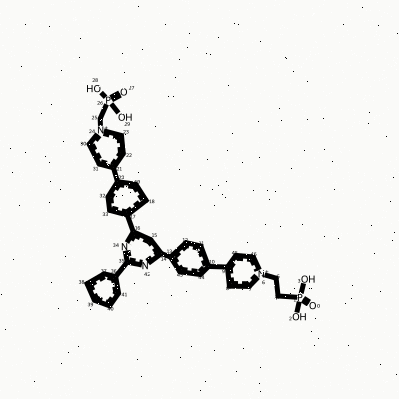 O=P(O)(O)CC[n+]1ccc(-c2ccc(-c3cc(-c4ccc(-c5cc[n+](CP(=O)(O)O)cc5)cc4)nc(-c4ccccc4)n3)cc2)cc1